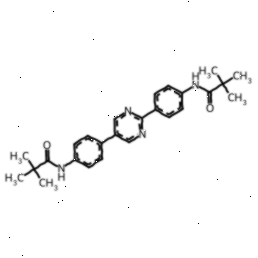 CC(C)(C)C(=O)Nc1ccc(-c2cnc(-c3ccc(NC(=O)C(C)(C)C)cc3)nc2)cc1